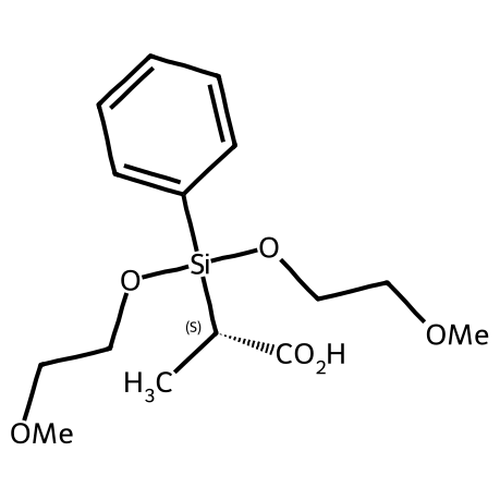 COCCO[Si](OCCOC)(c1ccccc1)[C@@H](C)C(=O)O